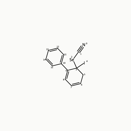 N#C[Se]C1(I)CC=CC=C1c1ccccc1